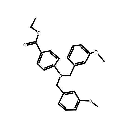 CCOC(=O)c1ccc(N(Cc2cccc(OC)c2)Cc2cccc(OC)c2)cc1